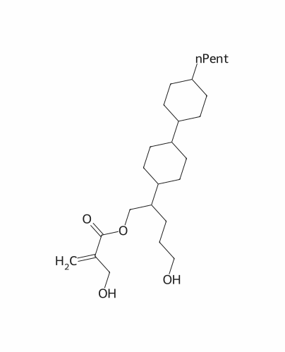 C=C(CO)C(=O)OCC(CCCO)C1CCC(C2CCC(CCCCC)CC2)CC1